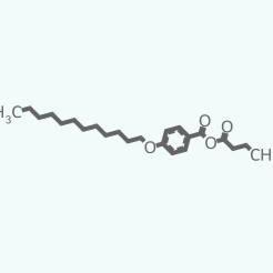 CCCCCCCCCCCCOc1ccc(C(=O)OC(=O)CCC)cc1